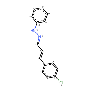 Clc1ccc(C=CC=NNc2ccccc2)cc1